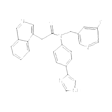 O=C(Cc1cncc2ccccc12)N(Cc1cncc(F)c1)c1ccc(-c2c[nH]cn2)cc1